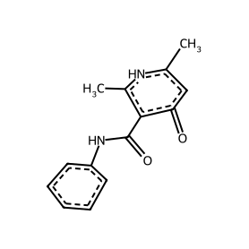 Cc1cc(=O)c(C(=O)Nc2ccccc2)c(C)[nH]1